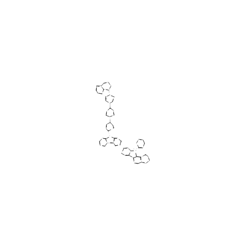 c1ccc(-n2c3cc(-c4ccc5c(c4)c4ccccc4n5-c4ccc(-c5ccc(-c6ccc7c(c6)-c6cccc8cccc-7c68)cc5)cc4)ccc3c3ccc4ccccc4c32)cc1